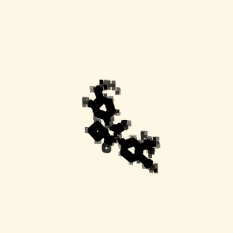 N#Cc1ccc(N2C(=O)C3(CCC3)N(c3ccc(CN)c(F)c3)C2=S)cc1C(F)(F)F